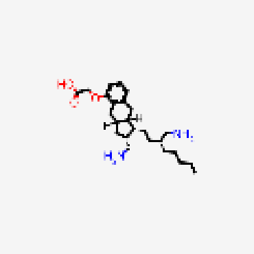 CCCCC[C@H](CN)CC[C@H]1[C@H](CN)C[C@@H]2Cc3c(cccc3OCC(=O)O)C[C@@H]21